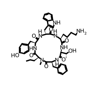 CCC[C@H]1C(=O)N[C@@H](Cc2ccc(O)cc2)C(=O)N[C@H](Cc2c[nH]c3ccccc23)C(=O)N[C@@H](CCCCN)C(=O)N[C@@H]([C@@H](C)O)C(=O)N[C@@H](Cc2ccccc2)C(=O)N1C